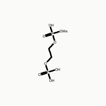 COP(=O)(O)OCCOP(=O)(O)O